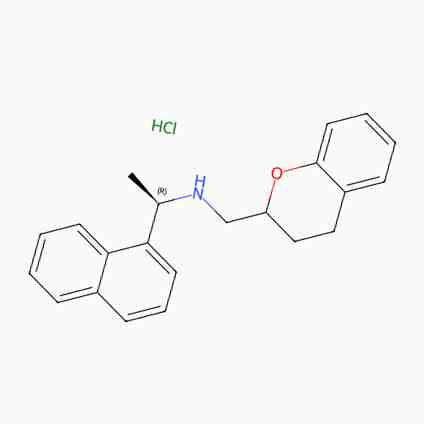 C[C@@H](NCC1CCc2ccccc2O1)c1cccc2ccccc12.Cl